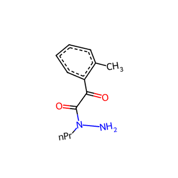 CCCN(N)C(=O)C(=O)c1ccccc1C